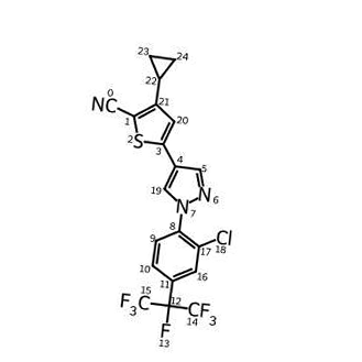 N#Cc1sc(-c2cnn(-c3ccc(C(F)(C(F)(F)F)C(F)(F)F)cc3Cl)c2)cc1C1CC1